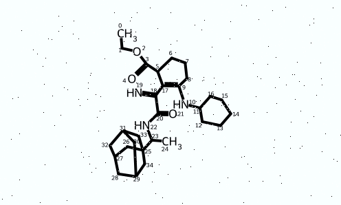 CCOC(=O)C1CCCC(NC2CCCCC2)=C1C(=N)C(=O)NC(C)C12CC3CC(CC(C3)C1)C2